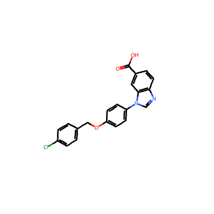 O=C(O)c1ccc2ncn(-c3ccc(OCc4ccc(Cl)cc4)cc3)c2c1